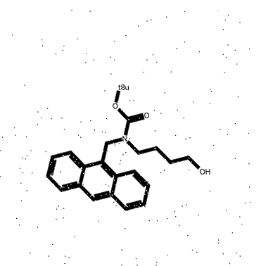 CC(C)(C)OC(=O)N(CCCCO)Cc1c2ccccc2cc2ccccc12